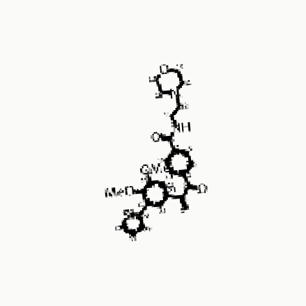 C=C(C(=O)c1ccc(C(=O)NCCN2CCOCC2)cc1)c1cc(OC)c(OC)c(-c2cccs2)c1